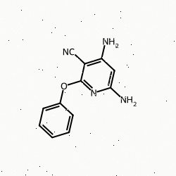 N#Cc1c(N)cc(N)nc1Oc1ccccc1